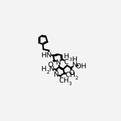 C=C1C(CC(=O)NO)=C(n2c(C)ccc(NCCc3ccccc3)c2=O)C(N)=NC1C